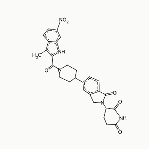 Cc1c(C(=O)N2CCC(c3ccc4c(c3)CN(C3CCC(=O)NC3=O)C4=O)CC2)[nH]c2cc([N+](=O)[O-])ccc12